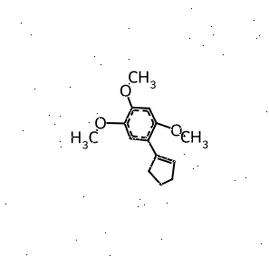 COc1cc(OC)c(C2=CCCC2)cc1OC